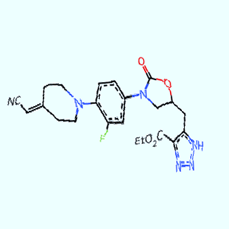 CCOC(=O)c1nn[nH]c1CC1CN(c2ccc(N3CCC(=CC#N)CC3)c(F)c2)C(=O)O1